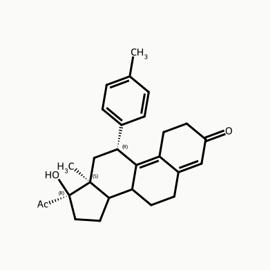 CC(=O)[C@@]1(O)CCC2C3CCC4=CC(=O)CCC4=C3[C@@H](c3ccc(C)cc3)C[C@@]21C